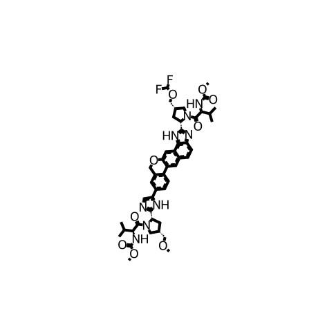 COC[C@H]1C[C@@H](c2ncc(-c3ccc4c(c3)COc3cc5c(ccc6nc([C@@H]7C[C@H](COC(F)F)CN7C(=O)C(NC(=O)OC)C(C)C)[nH]c65)cc3-4)[nH]2)N(C(=O)[C@@H](NC(=O)OC)C(C)C)C1